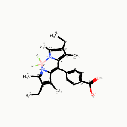 CCC1=C(C)C2=C(c3ccc(C(=O)O)cc3)c3c(C)c(CC)c(C)n3[B-](F)(F)[N+]2=C1C